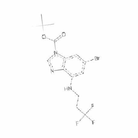 CC(C)(C)OC(=O)n1cnc2c(NCCC(F)(F)F)cc(Br)cc21